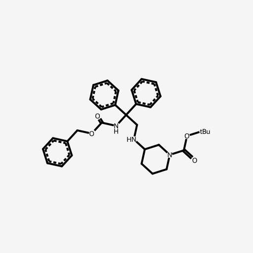 CC(C)(C)OC(=O)N1CCCC(NCC(NC(=O)OCc2ccccc2)(c2ccccc2)c2ccccc2)C1